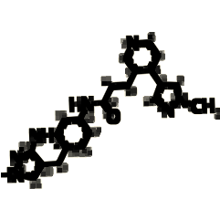 Cn1cc(-c2ccncc2C=CC(=O)Nc2ccc(Cc3c[nH]nc3N)cc2)cn1